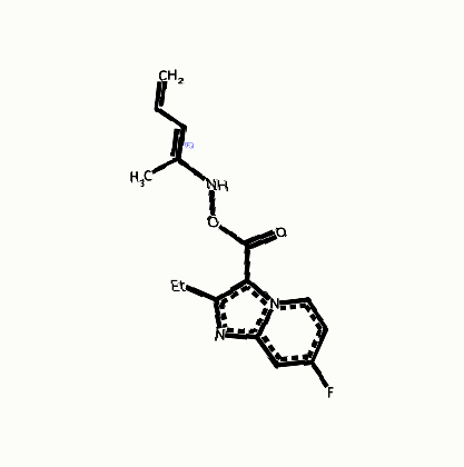 C=C/C=C(\C)NOC(=O)c1c(CC)nc2cc(F)ccn12